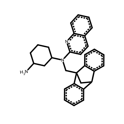 NC1CCCC(N(CC23CC(c4ccccc42)c2ccccc23)c2ccc3ccccc3n2)C1